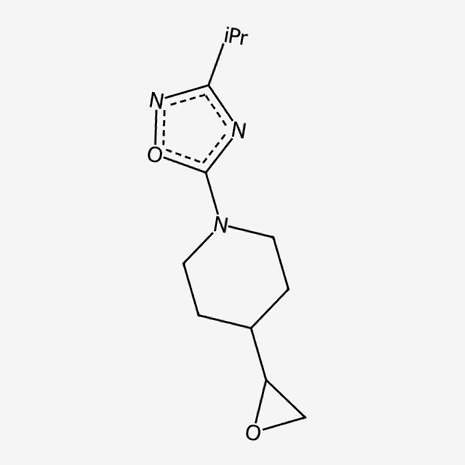 CC(C)c1noc(N2CCC(C3CO3)CC2)n1